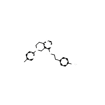 COc1ccc(CCNc2ncnc3c2CN(c2ccc(C)cn2)CC3)cc1